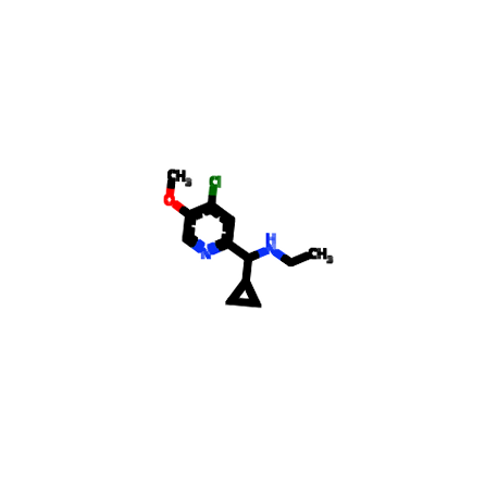 CCNC(c1cc(Cl)c(OC)cn1)C1CC1